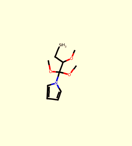 COC(C[SiH3])C(OC)(OC)n1cccc1